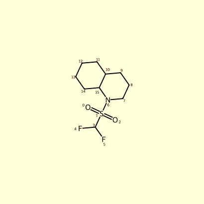 O=S(=O)(C(F)F)N1CCCC2CCCCC21